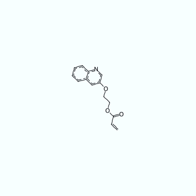 C=CC(=O)OCCOc1cnc2ccccc2c1